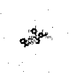 Cc1cc(=O)n(CC(=O)N[C@@H](Cc2cc(F)cc(F)c2)c2ncccc2-c2ccc(F)c(C(N)=O)c2)c2ccccc12